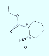 CCOC(=O)[C@@H]1CCCC[C@@H]1NCl